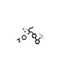 CCCc1c(Cc2ccc(-c3ccccc3-c3nnn[nH]3)cc2)c(=O)n([C@H]2CC[C@H](OC(C)C(C)(C)O)CC2)c2ncnn12